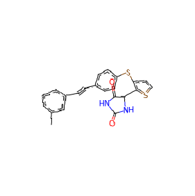 Cc1cccc(C#Cc2ccc(Sc3ccsc3C3NC(=O)NC3=O)cc2)c1